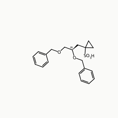 O=S(=O)(O)C1(C[C@H](COCc2ccccc2)OCc2ccccc2)CC1